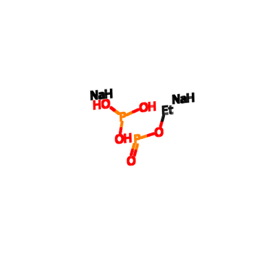 CCOP=O.OP(O)O.[NaH].[NaH]